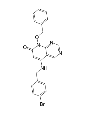 O=c1cc(NCc2ccc(Br)cc2)c2cncnc2n1OCc1ccccc1